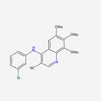 COc1cc2c(Nc3cccc(Br)c3)c(C#N)cnc2c(OC)c1OC